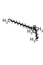 CCCCCCCCCCCCCCCCOC(=O)C(C)(C)CCCCCC